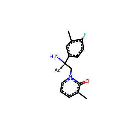 CC(=O)[C@](N)(Cn1cccc(C)c1=O)c1ccc(F)c(C)c1